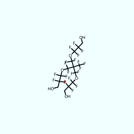 OCC(F)(F)C(F)(F)OC(F)(F)C(C(F)(F)F)(C(F)(F)OC(F)(F)C(F)(F)CO)C(F)(F)OC(F)(F)C(F)(F)CO